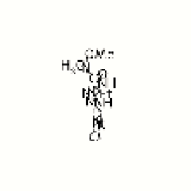 CCc1c(NC(=O)OCCN(C)CCOC)cn2ncnc(Nc3ccc4c(cnn4Cc4ccccc4)c3)c12